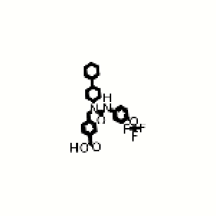 O=C(O)c1ccc(CN(C(=O)Nc2ccc(OC(F)(F)F)cc2)C2CCC(C3CCCCC3)CC2)cc1